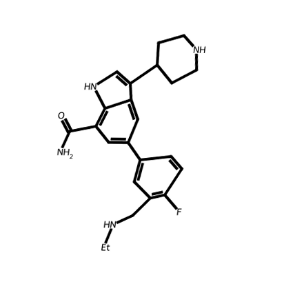 CCNCc1cc(-c2cc(C(N)=O)c3[nH]cc(C4CCNCC4)c3c2)ccc1F